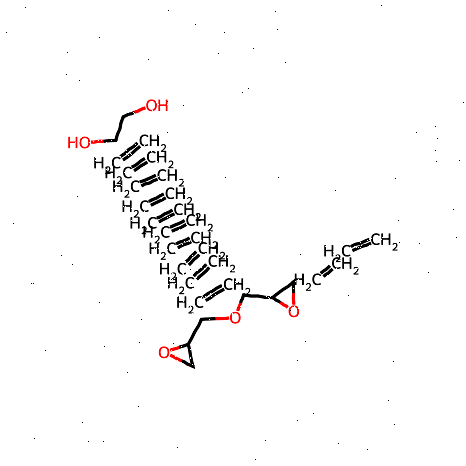 C(OCC1CO1)C1CO1.C=C.C=C.C=C.C=C.C=C.C=C.C=C.C=C.C=C.C=C.C=C.C=C.OCCO